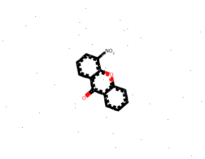 O=c1c2ccccc2oc2c([N+](=O)[O-])cccc12